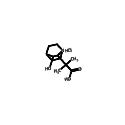 CC(C)(C(=O)O)C1C(O)C2CCN1CC2.Cl